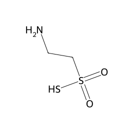 NCCS(=O)(=O)S